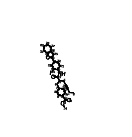 CCC#CCC(Cc1ccc(C(=O)OC)cc1)C(=O)Nc1ccc(-c2cc3ccccc3o2)cc1F